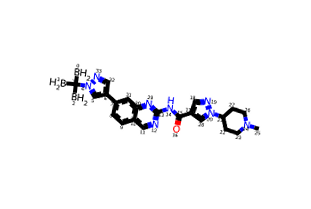 BC(B)(B)n1cc(-c2ccc3cnc(NC(=O)c4cnn(C5CCN(C)CC5)c4)nc3c2)cn1